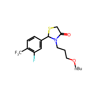 CCCCOCCCN1C(=O)CSC1c1ccc(C(F)(F)F)c(F)c1